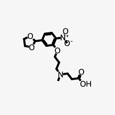 CN(CCCOc1cc(C2OCCO2)ccc1[N+](=O)[O-])CCC(=O)O